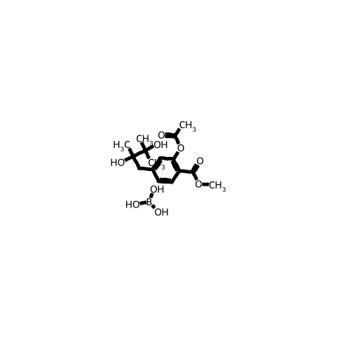 COC(=O)c1ccc(CC(C)(O)C(C)(C)O)cc1OC(C)=O.OB(O)O